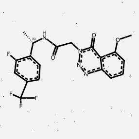 COc1cccc2nnn(CC(=O)N[C@@H](C)c3ccc(C(F)(F)F)cc3F)c(=O)c12